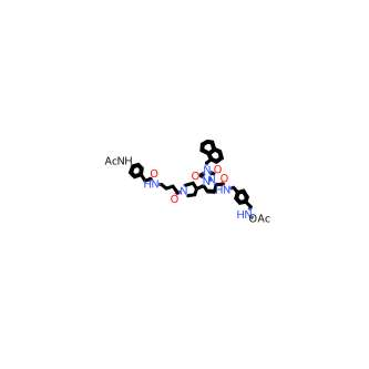 CC(=O)Nc1ccc(CC(=O)NCCCC(=O)N2CCC(C3C=CC(C(=O)NCc4ccc(CNOC(C)=O)cc4)n4c(=O)n(Cc5cccc6ccccc56)c(=O)n43)CC2)cc1